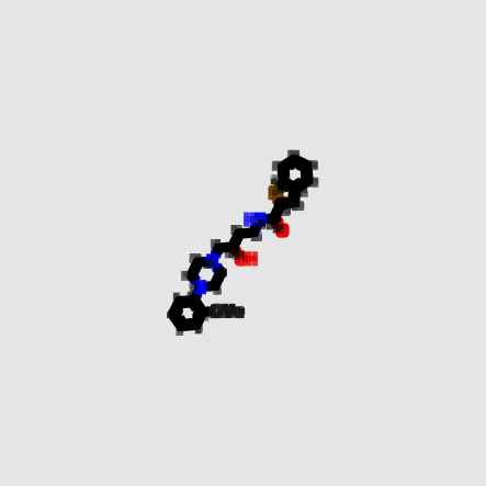 COc1ccccc1N1CCN(CC(O)CCNC(=O)c2cc3ccccc3s2)CC1